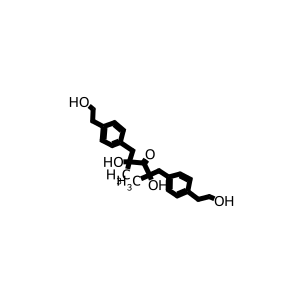 CC(O)(Cc1ccc(CCO)cc1)C(=O)C(C)(O)Cc1ccc(CCO)cc1